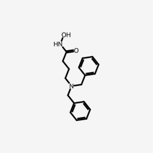 O=C(CCCN(Cc1ccccc1)Cc1ccccc1)NO